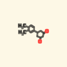 Cc1ccc(C2CC(=O)CC(=O)C2)cc1C